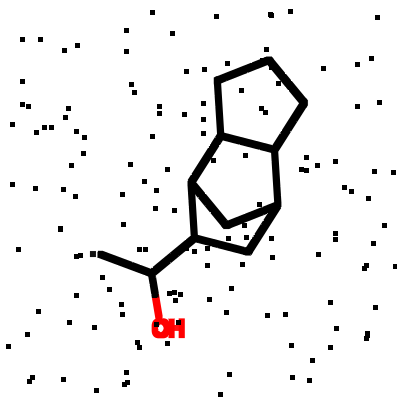 [CH2]C(O)C1CC2CC1C1CCCC21